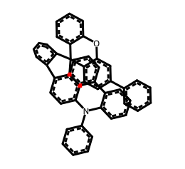 c1ccc(-c2ccc3c(c2)Oc2ccccc2C32c3ccccc3-c3ccc(N(c4ccccc4)c4ccccc4-c4ccccc4)cc32)cc1